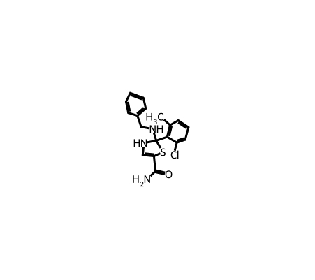 Cc1cccc(Cl)c1C1(NCc2ccccc2)NC=C(C(N)=O)S1